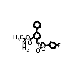 CC(N)OC(=O)c1cc(-c2ccccc2)ccc1CN1CC(c2ccc(F)cc2)OC1=O